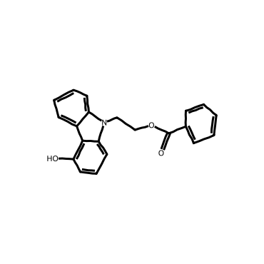 O=C(OCCn1c2ccccc2c2c(O)cccc21)c1ccccc1